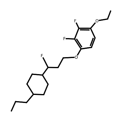 CCCC1CCC(C(F)CCOc2ccc(OCC)c(F)c2F)CC1